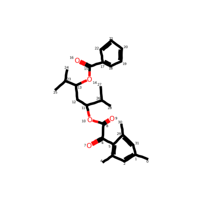 Cc1cc(C)c(C(=O)C(=O)OC(CC(OC(=O)c2ccccc2)C(C)C)C(C)C)c(C)c1